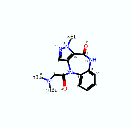 CCCCN(CC(=O)N1c2ccccc2NC(=O)c2c1cnn2CC)C(C)(C)C